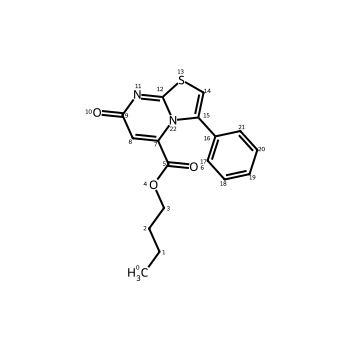 CCCCOC(=O)c1cc(=O)nc2scc(-c3ccccc3)n12